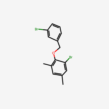 Cc1cc(C)c(OCc2cccc(Br)c2)c(Br)c1